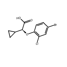 O=C(O)[C@@H](Oc1ccc(Br)cc1Cl)C1CC1